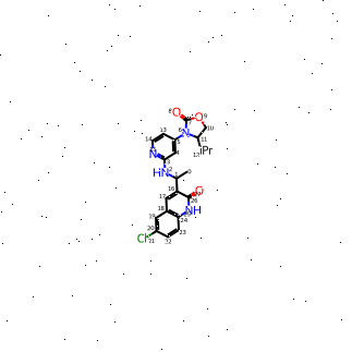 CC(Nc1cc(N2C(=O)OCC2C(C)C)ccn1)c1cc2cc(Cl)ccc2[nH]c1=O